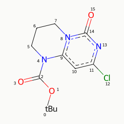 CC(C)(C)OC(=O)N1CCCn2c1cc(Cl)nc2=O